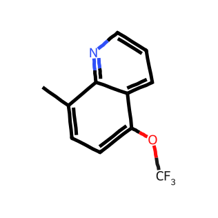 Cc1ccc(OC(F)(F)F)c2cccnc12